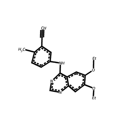 C#Cc1cc(Nc2ncnc3cc(OCC)c(OCC)cc23)ccc1C